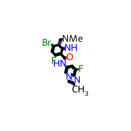 CN/C=C1\C(=N)C(C(=O)Nc2cc(F)c3nc(C)cn3c2)=C(F)C=C1Br